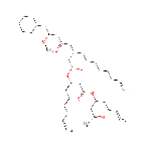 C=CCCCCCCC(CC(=O)CC(CC1CCCCC1)OC)CC(=O)OC(CCCCC=C)CC(=O)OC(CCC=C)CC(C)=O